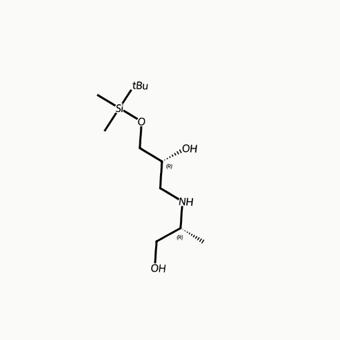 C[C@H](CO)NC[C@@H](O)CO[Si](C)(C)C(C)(C)C